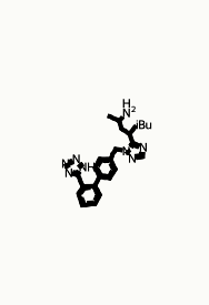 CCC(C)C(CC(C)N)c1ncnn1Cc1ccc(-c2ccccc2-c2nnn[nH]2)cc1